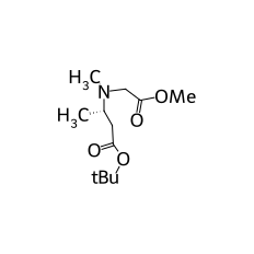 COC(=O)CN(C)[C@@H](C)CC(=O)OC(C)(C)C